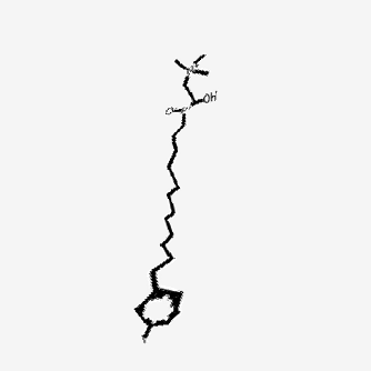 C[N+](C)(C)C/C(O)=[P+](\[O-])CCCCCCCCCCCCc1cccc(I)c1